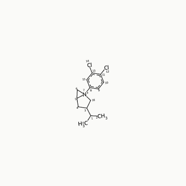 CC(C)C1CC2C[N+]2(c2ccc(Cl)c(Cl)c2)C1